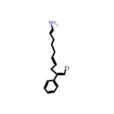 CCC=C(CC=CCCCC=CN)c1ccccc1